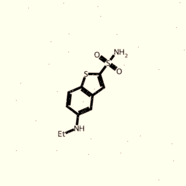 CCNc1ccc2sc(S(N)(=O)=O)cc2c1